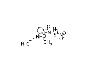 CCCCNc1cccc(C(=O)Nc2ncc([N+](=O)[O-])s2)c1OCC